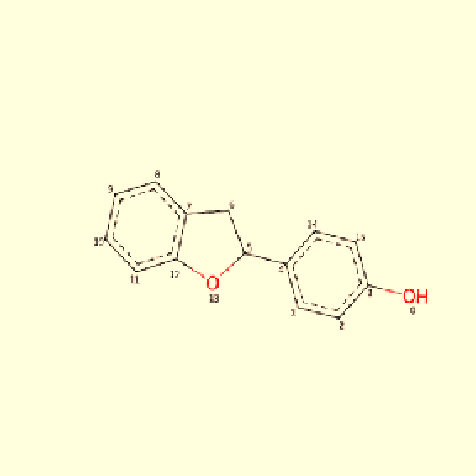 Oc1ccc(C2Cc3ccccc3O2)cc1